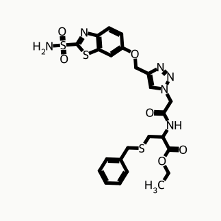 CCOC(=O)C(CSCc1ccccc1)NC(=O)Cn1cc(COc2ccc3nc(S(N)(=O)=O)sc3c2)nn1